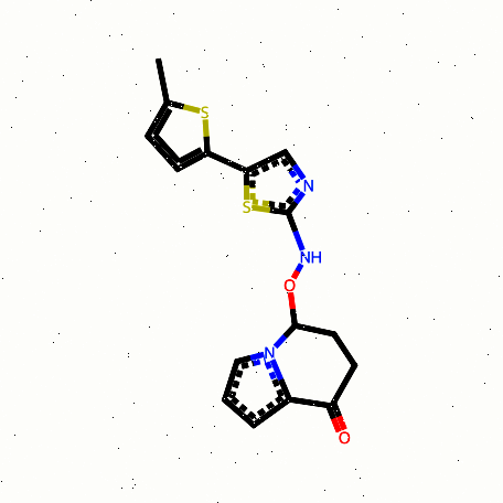 CC1=C=C=C(c2cnc(NOC3CCC(=O)c4cccn43)s2)S1